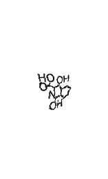 O=C(O)c1nc(O)c2ccccc2c1O